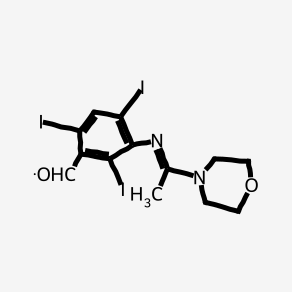 CC(=Nc1c(I)cc(I)c([C]=O)c1I)N1CCOCC1